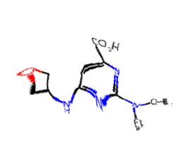 CCN(C)c1nc(NC2COC2)cc(C(=O)O)n1